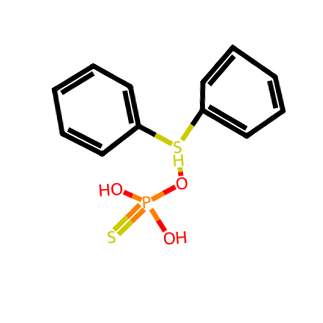 OP(O)(=S)O[SH](c1ccccc1)c1ccccc1